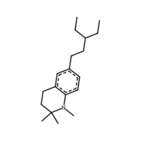 CCC(CC)CCc1ccc2c(c1)CCC(C)(C)N2C